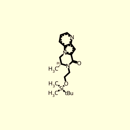 C[C@@H]1Cn2c(cc3ncccc32)C(=O)N1CCO[Si](C)(C)C(C)(C)C